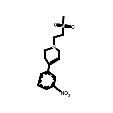 CS(=O)(=O)CCN1CC=C(c2cccc([N+](=O)[O-])c2)CC1